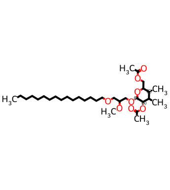 CCCCCCCCCCCCCCCCOCC(CO[C@@H]1OC(COC(C)=O)[C@@H](C)C(C)[C@@H]1OC(C)=O)OC